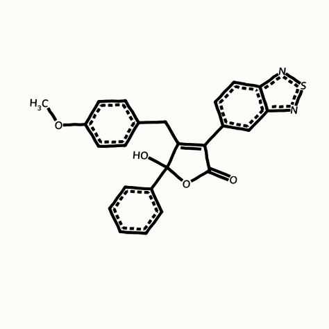 COc1ccc(CC2=C(c3ccc4nsnc4c3)C(=O)OC2(O)c2ccccc2)cc1